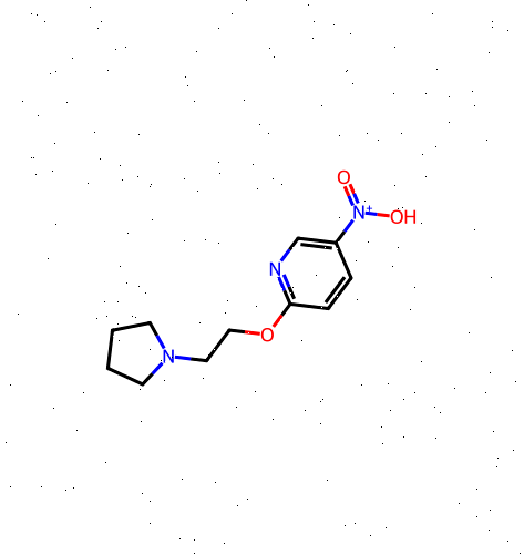 O=[N+](O)c1ccc(OCCN2CCCC2)nc1